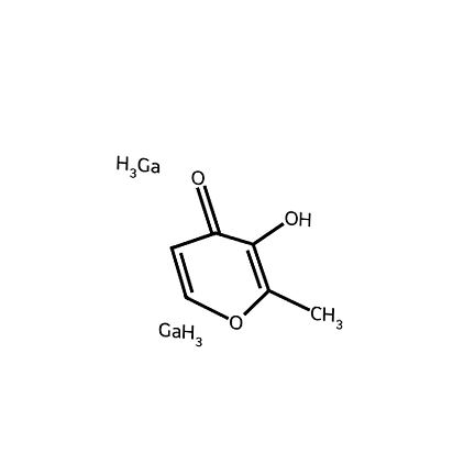 Cc1occc(=O)c1O.[GaH3].[GaH3]